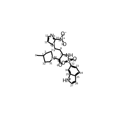 CC1CCN(C(=O)C(CCn2ccnc2[N+](=O)[O-])NS(=O)(=O)c2ccc3cc[nH]c3c2)CC1